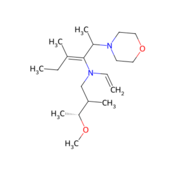 C=CN(CC(C)[C@@H](C)OC)/C(=C(/C)CC)C(C)N1CCOCC1